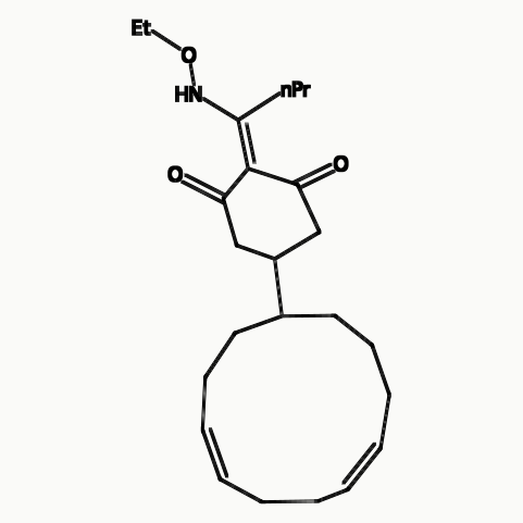 CCCC(NOCC)=C1C(=O)CC(C2CCC=CCCC=CCCC2)CC1=O